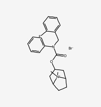 C[N+]1(C)C2CCC1CC(OC(=O)N(Cc1ccccc1F)c1ccccc1)C2.[Br-]